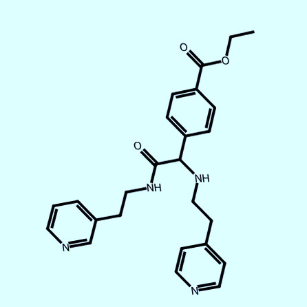 CCOC(=O)c1ccc(C(NCCc2ccncc2)C(=O)NCCc2cccnc2)cc1